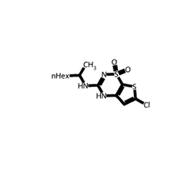 CCCCCCC(C)NC1=NS(=O)(=O)c2sc(Cl)cc2N1